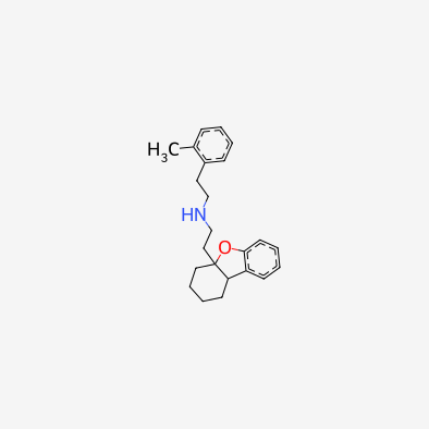 Cc1ccccc1CCNCCC12CCCCC1c1ccccc1O2